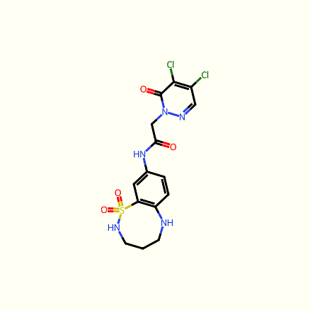 O=C(Cn1ncc(Cl)c(Cl)c1=O)Nc1ccc2c(c1)S(=O)(=O)NCCCN2